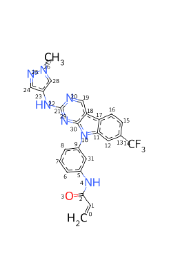 C=CC(=O)Nc1cccc(-n2c3cc(C(F)(F)F)ccc3c3cnc(Nc4cnn(C)c4)nc32)c1